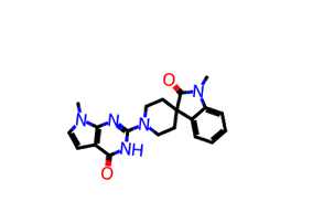 CN1C(=O)C2(CCN(c3nc4c(ccn4C)c(=O)[nH]3)CC2)c2ccccc21